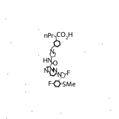 CCCC(C(=O)O)c1cccc(CN2CC[C@H](NC(=O)c3cnc4ccc(N5C[C@@H](F)C[C@@H]5c5cc(F)ccc5SC)nn34)C2)c1